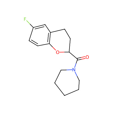 O=C(C1CCc2cc(F)ccc2O1)N1CCCCC1